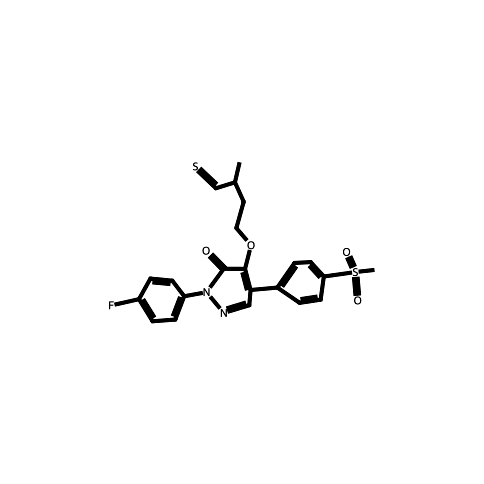 CC(C=S)CCOc1c(-c2ccc(S(C)(=O)=O)cc2)cnn(-c2ccc(F)cc2)c1=O